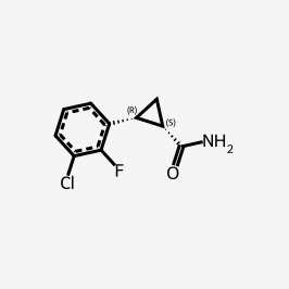 NC(=O)[C@H]1C[C@H]1c1cccc(Cl)c1F